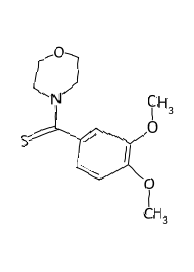 COc1ccc(C(=S)N2CCOCC2)cc1OC